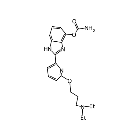 CCN(CC)CCCOc1cccc(-c2nc3c(OC(N)=O)cccc3[nH]2)n1